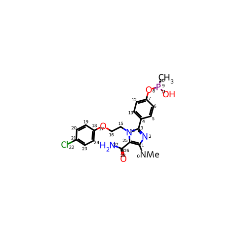 CNc1nc(-c2ccc(OP(C)O)cc2)n(CCOc2ccc(Cl)cc2)c1C(N)=O